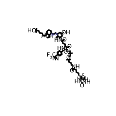 C=C1/C(=C\C=C2/CCC[C@]3(C)[C@@H]([C@H](C)CCCC(C)(C)O)CC[C@@H]23)C[C@@H](O)C[C@@H]1NC(=O)CCC(NC(=O)c1ccc(C2(C(F)(F)F)N=N2)cc1)C(=O)NCC(C)(C)COC(C)(C)CCCNC(=O)CCCC[C@@H]1SC[C@@H]2NC(=O)N[C@@H]21